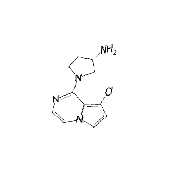 N[C@H]1CCN(c2nccn3ccc(Cl)c23)C1